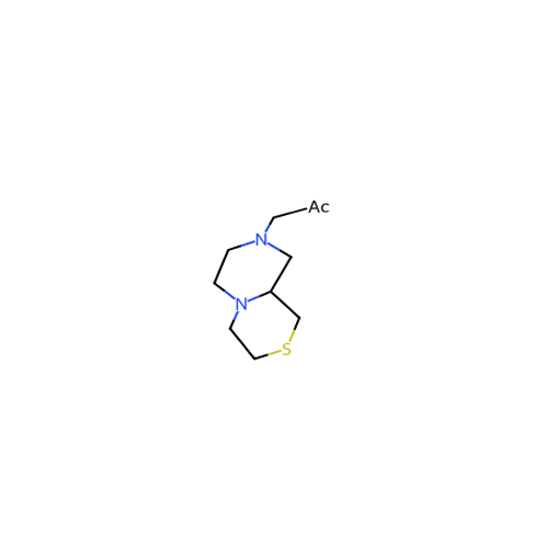 CC(=O)CN1CCN2CCSCC2C1